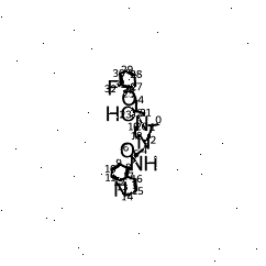 CC1CN(CC(=O)Nc2cccc3ncccc23)CCN1CC(O)COc1ccccc1F